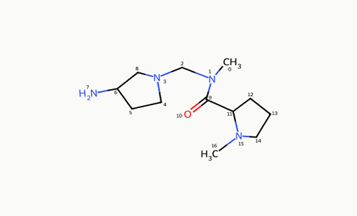 CN(CN1CCC(N)C1)C(=O)C1CCCN1C